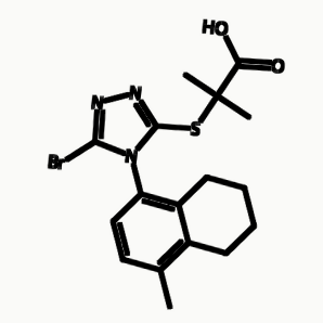 Cc1ccc(-n2c(Br)nnc2SC(C)(C)C(=O)O)c2c1CCCC2